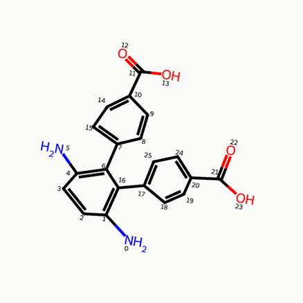 Nc1ccc(N)c(-c2ccc(C(=O)O)cc2)c1-c1ccc(C(=O)O)cc1